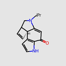 CC(C)N1CC2C=C[C@@]23C1=CC(=O)c1[nH]ccc13